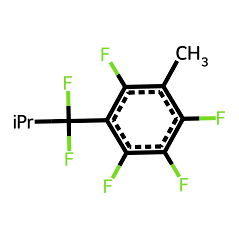 Cc1c(F)c(F)c(F)c(C(F)(F)C(C)C)c1F